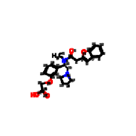 CN(C(=O)Cc1cc2ccccc2o1)[C@H](CN1CCCC1)c1cccc(OCC(=O)O)c1